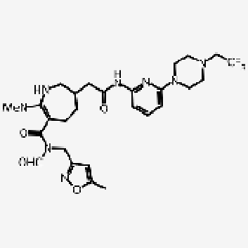 CNC1=C(C(=O)N(C=O)Cc2cc(C)on2)CCC(CC(=O)Nc2cccc(N3CCN(CC(F)(F)F)CC3)n2)CN1